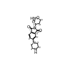 O=C1c2ccc(N3CCNCC3)cc2C(=O)N1C1CCONO1